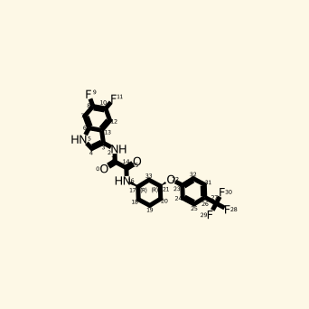 O=C(Nc1c[nH]c2cc(F)c(F)cc12)C(=O)N[C@@H]1CCC[C@@H](Oc2ccc(C(F)(F)F)cc2)C1